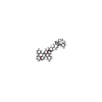 Cc1nc2cc(-c3ccc(-c4ccc5c(-c6ccccc6-c6ccccc6)c6ccccc6c(-c6ccccc6-c6ccccc6)c5c4)cc3)ccc2n1-c1ccccc1